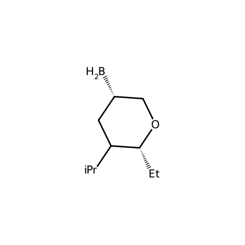 B[C@@H]1CO[C@H](CC)C(C(C)C)C1